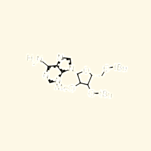 COC1C(OC(C)(C)C)[C@@H](COC(C)(C)C)O[C@H]1n1cnc2c(N)ncnc21